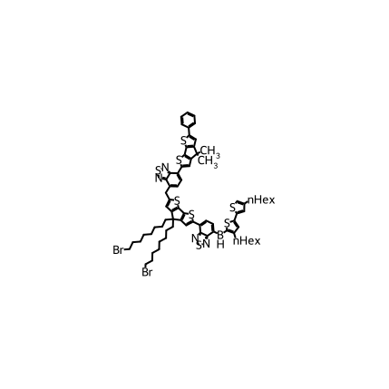 CCCCCCc1csc(-c2cc(CCCCCC)c(Bc3ccc(-c4cc5c(s4)-c4sc(Cc6ccc(-c7cc8c(s7)-c7sc(-c9ccccc9)cc7C8(C)C)c7nsnc67)cc4C5(CCCCCCCCBr)CCCCCCCCBr)c4nsnc34)s2)c1